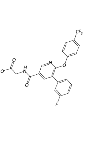 COC(=O)CNC(=O)c1cnc(Oc2ccc(C(F)(F)F)cc2)c(-c2cccc(F)c2)c1